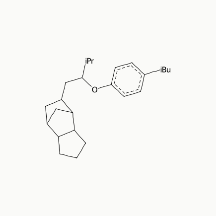 CCC(C)c1ccc(OC(CC2CC3CC2C2CCCC32)C(C)C)cc1